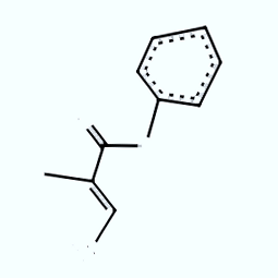 CC(=C[N+](=O)[O-])C(=O)Oc1ccccc1